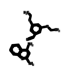 CCOc1cc(C=O)cc(OCC)c1.Nc1cc(N)c2ccccc2n1